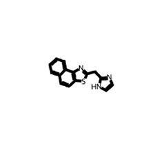 c1ccc2c(c1)ccc1sc(Cc3ncc[nH]3)nc12